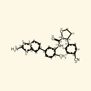 Cc1ccc(-c2ccn3nc(N)nc3c2)cc1NC(=O)N1OCC[C@H]1c1ccc(C#N)cc1